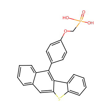 O=P(O)(O)COc1ccc(-c2c3ccccc3cc3sc4ccccc4c23)cc1